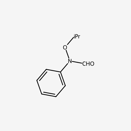 CC(C)ON(C=O)c1ccccc1